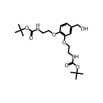 CC(C)(C)OC(=O)NCCOc1ccc(CO)cc1OCCNC(=O)OC(C)(C)C